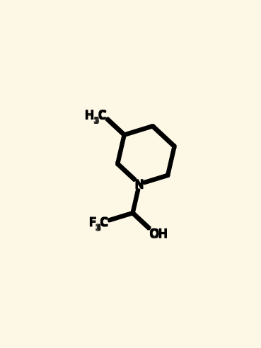 CC1CCCN(C(O)C(F)(F)F)C1